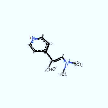 CCN(C=C(C=O)c1ccncc1)CC